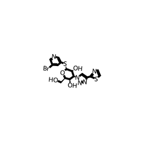 OC[C@H]1O[C@H](Sc2cncc(Br)c2)[C@H](O)[C@@H](n2cc(-c3nccs3)nn2)[C@H]1O